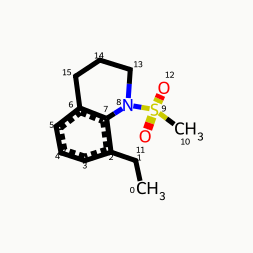 CCc1cccc2c1N(S(C)(=O)=O)CCC2